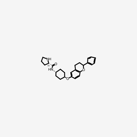 O=C(N[C@H]1CC[C@H](Oc2ccc3c(c2)CCC(c2ccccc2)O3)CC1)[C@@H]1CCCN1